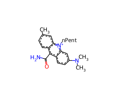 CCCCC[n+]1c2cc(C)ccc2c(C(N)=O)c2ccc(N(C)C)cc21